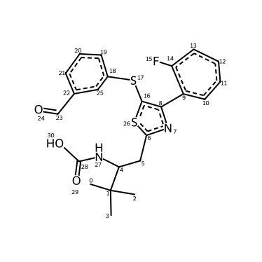 CC(C)(C)C(Cc1nc(-c2ccccc2F)c(Sc2cccc(C=O)c2)s1)NC(=O)O